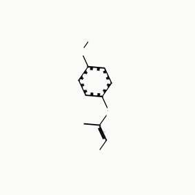 CCOc1ccc(N/C(C)=C/C(=O)O)cc1